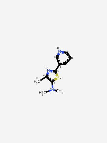 CN(C)c1sc(-c2cccnc2)nc1C(F)(F)F